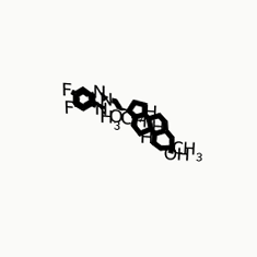 C[C@@]1(O)CC[C@H]2C(CC[C@@H]3[C@@H]2CC[C@]2(C)[C@@H](C(=O)Cn4nc5cc(F)c(F)cc5n4)CC[C@@H]32)C1